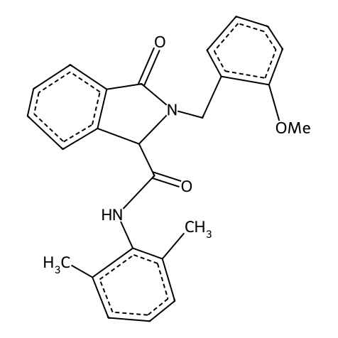 COc1ccccc1CN1C(=O)c2ccccc2C1C(=O)Nc1c(C)cccc1C